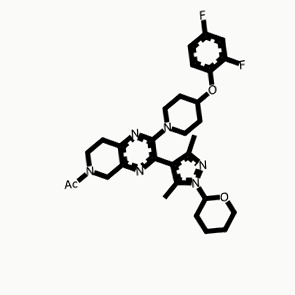 CC(=O)N1CCc2nc(N3CCC(Oc4ccc(F)cc4F)CC3)c(-c3c(C)nn(C4CCCCO4)c3C)nc2C1